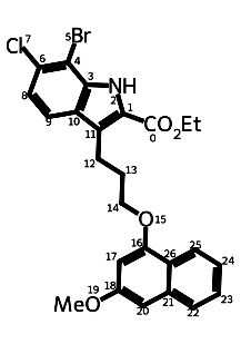 CCOC(=O)c1[nH]c2c(Br)c(Cl)ccc2c1CCCOc1cc(OC)cc2ccccc12